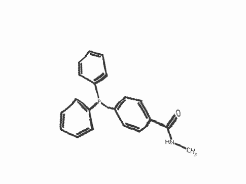 CNC(=O)c1ccc(P(c2ccccc2)c2ccccc2)cc1